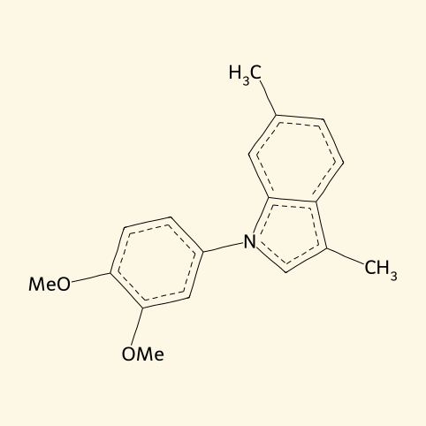 COc1ccc(-n2cc(C)c3ccc(C)cc32)cc1OC